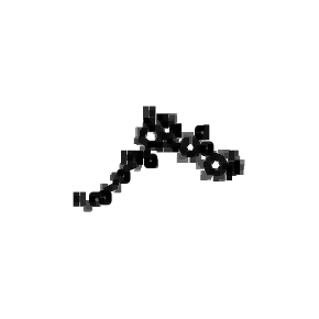 COCCCOCCNC(=O)C1=Cc2c(ncnc2Nc2ccc(Oc3cccc(C(F)(F)F)c3)c(Cl)c2)NCC1